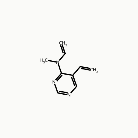 C=Cc1cncnc1N(C)C=C